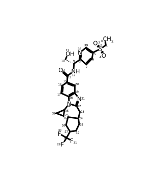 CCS(=O)(=O)c1ccc([C@@H](CO)NC(=O)c2ccc3c(c2)nc(CC2CCC(C(F)(F)F)CC2)n3C2CC2)nc1